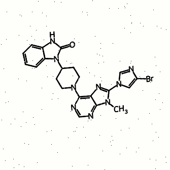 Cn1c(-n2cnc(Br)c2)nc2c(N3CCC(n4c(=O)[nH]c5ccccc54)CC3)ncnc21